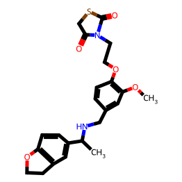 COc1cc(CNC(C)c2ccc3c(c2)CCO3)ccc1OCCN1C(=O)CSC1=O